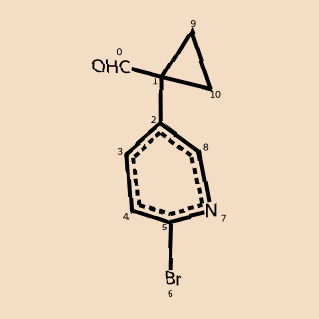 O=CC1(c2ccc(Br)nc2)CC1